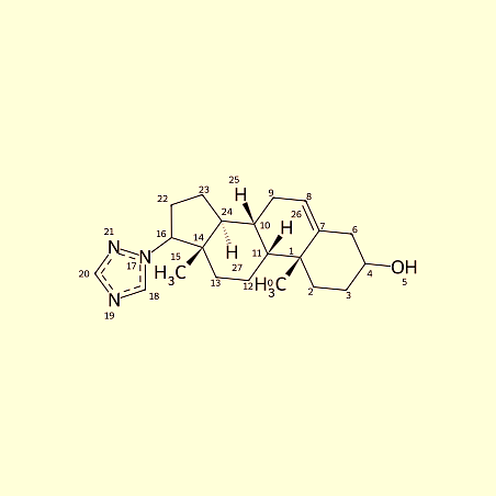 C[C@]12CCC(O)CC1=CC[C@@H]1[C@H]2CC[C@]2(C)C(n3cncn3)CC[C@@H]12